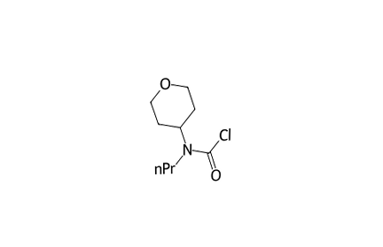 CCCN(C(=O)Cl)C1CCOCC1